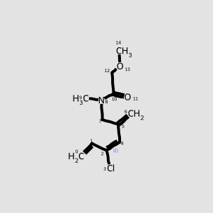 C=C/C(Cl)=C\C(=C)CN(C)C(=O)COC